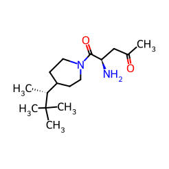 CC(=O)C[C@@H](N)C(=O)N1CCC([C@@H](C)C(C)(C)C)CC1